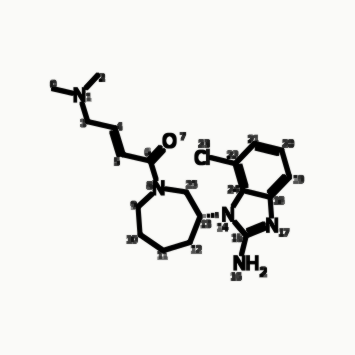 CN(C)C/C=C/C(=O)N1CCCC[C@@H](n2c(N)nc3cccc(Cl)c32)C1